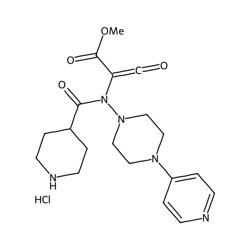 COC(=O)C(=C=O)N(C(=O)C1CCNCC1)N1CCN(c2ccncc2)CC1.Cl